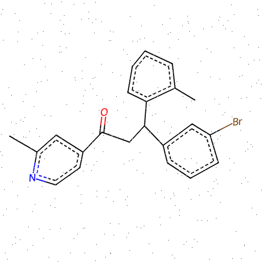 Cc1cc(C(=O)CC(c2cccc(Br)c2)c2ccccc2C)ccn1